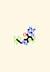 Cn1ncn2c(=O)c(-c3cnn(CC(F)(F)C(F)(F)F)c3)c(C(F)(F)F)nc12